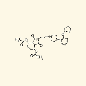 CC(=O)OC1C=CC(OC(C)=O)C2C(=O)N(CCCN3CCN(c4ccccc4OC4CCCC4)CC3)C(=O)C12